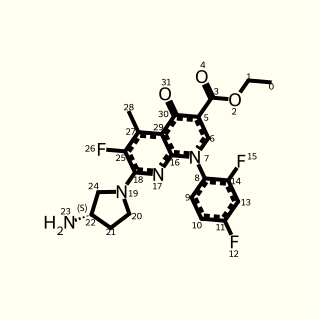 CCOC(=O)c1cn(-c2ccc(F)cc2F)c2nc(N3CC[C@H](N)C3)c(F)c(C)c2c1=O